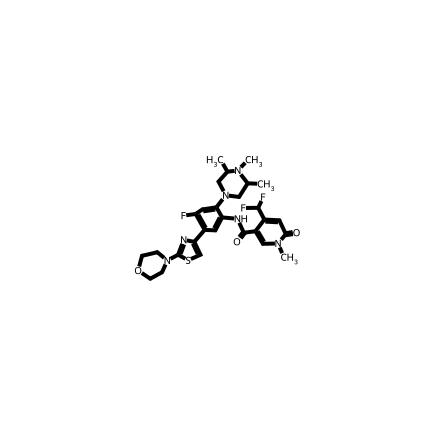 CC1CN(c2cc(F)c(-c3csc(N4CCOCC4)n3)cc2NC(=O)c2cn(C)c(=O)cc2C(F)F)CC(C)N1C